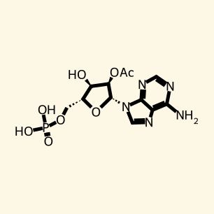 CC(=O)O[C@@H]1[C@H](O)[C@@H](COP(=O)(O)O)O[C@H]1n1cnc2c(N)ncnc21